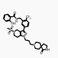 CS(=O)(=O)N1CCc2c(c(-c3ccc(C(F)(F)F)c(CNC(=O)c4ccccc4O)c3)nn2CCCN2CCC3(CCNC3=O)CC2)C1